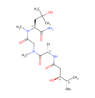 CCCC[C@@H](C)[C@@H](O)CC(=O)N[C@@H](CC)C(=O)N(C)CC(=O)N(C)[C@@H](CC(C)(C)O)C(N)=O